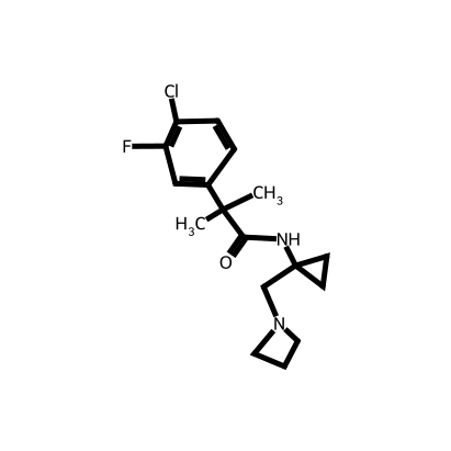 CC(C)(C(=O)NC1(CN2CCC2)CC1)c1ccc(Cl)c(F)c1